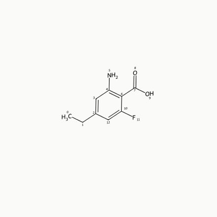 CCc1cc(N)c(C(=O)O)c(F)c1